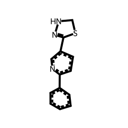 c1ccc(-c2ccc(C3=NNCS3)cn2)cc1